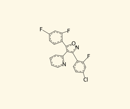 Fc1ccc(-c2onc(-c3ccc(Cl)cc3F)c2-c2ccccn2)c(F)c1